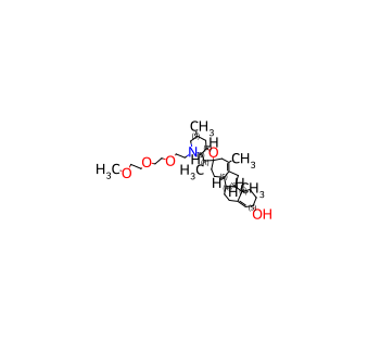 COCCOCCOCCN1C[C@@H](C)C[C@H]2OC3(CC[C@@H]4C(=C(C)C3)C[C@H]3[C@H]4CCC4=C[C@@H](O)CC[C@@]43C)[C@H](C)[C@@H]21